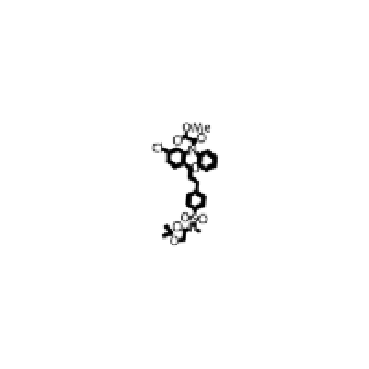 COC(=O)C(=O)N(c1ccccc1)c1cc(Cl)ccc1C(=O)CCc1ccc(S(=O)(=O)N(C)C2COC(C)(C)O2)cc1